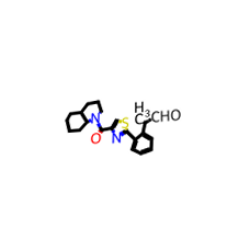 CC(C=O)c1ccccc1-c1nc(C(=O)N2CCCC3CCCCC32)cs1